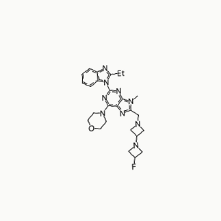 CCc1nc2ccccc2n1-c1nc(N2CCOCC2)c2nc(CN3CC(N4CC(F)C4)C3)n(C)c2n1